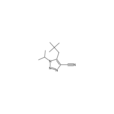 CC(C)n1nnc(C#N)c1CC(C)(C)C